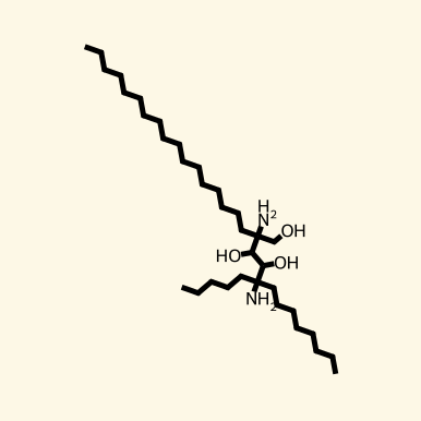 CCCCCCCCCCCCCCCCCC(N)(CO)C(O)C(O)C(N)(CCCCC)CCCCCCCC